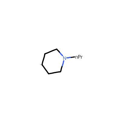 CCCN1CC[CH]CC1